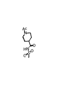 CC(=O)N1CCC(C(=O)NS(C)(=O)=O)CC1